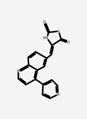 O=C1N/C(=C\c2ccc3nccc(-c4ccncc4)c3c2)C(=O)S1